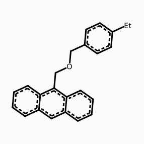 CCc1ccc(COCc2c3ccccc3cc3ccccc23)cc1